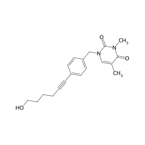 Cc1cn(Cc2ccc(C#CCCCCO)cc2)c(=O)n(C)c1=O